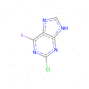 Clc1nc(I)c2nc[nH]c2n1